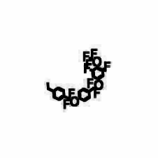 CCc1ccc(C(F)(F)Oc2ccc(C(F)(F)Oc3cc(F)c(OC(F)(F)F)c(F)c3)cc2)cc1